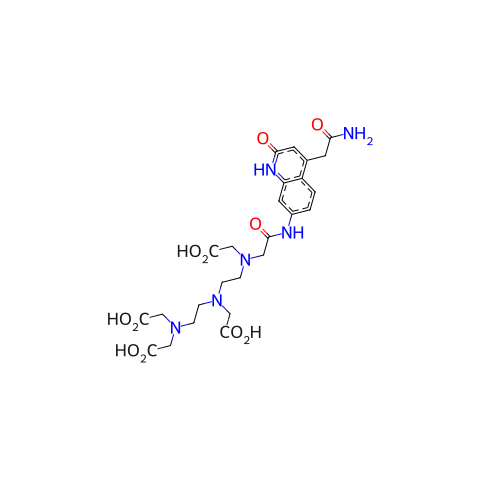 NC(=O)Cc1cc(=O)[nH]c2cc(NC(=O)CN(CCN(CCN(CC(=O)O)CC(=O)O)CC(=O)O)CC(=O)O)ccc12